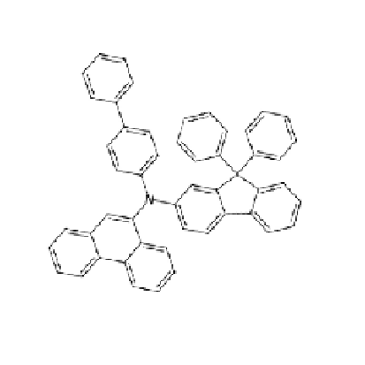 c1ccc(-c2ccc(N(c3ccc4c(c3)C(c3ccccc3)(c3ccccc3)c3ccccc3-4)c3cc4ccccc4c4ccccc34)cc2)cc1